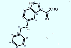 O=CC(=O)c1c[nH]c2ccc(OCc3ccccc3)cc12